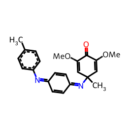 COC1=CC(C)(N=C2C=CC(=Nc3ccc(C)cc3)C=C2)C=C(OC)C1=O